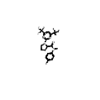 CN(C(=O)C1CCCN1c1nc(C(F)(F)F)cc(C(F)(F)F)n1)c1ccc(F)cc1